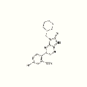 COc1cc(C(C)C)ccc1-c1cnc2[nH]c(=O)n(CC3CCCCC3)c2n1